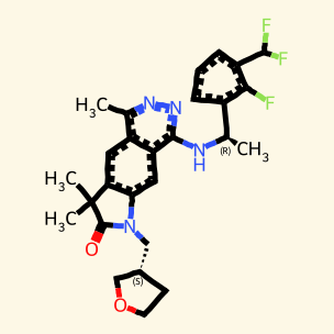 Cc1nnc(N[C@H](C)c2cccc(C(F)F)c2F)c2cc3c(cc12)C(C)(C)C(=O)N3C[C@@H]1CCOC1